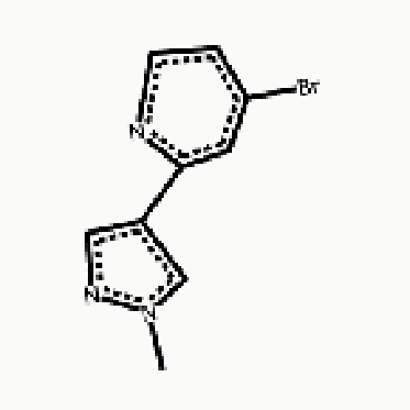 Cn1cc(-c2cc(Br)ccn2)cn1